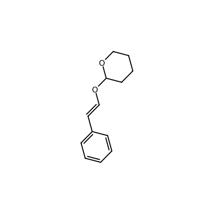 C(=Cc1ccccc1)OC1CCCCO1